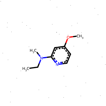 CCN(C)c1cc(OC)ccn1